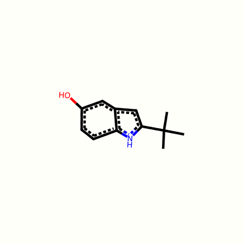 CC(C)(C)c1cc2cc(O)ccc2[nH]1